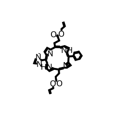 C=CCOC(=O)CCc1c2nc(c(-c3nccn3C)c3ccc([nH]3)c(CCC(=O)OCC=C)c3nc(c(-c4ccccc4)c4ccc1[nH]4)C=C3)C=C2